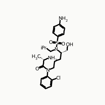 CC(C)CN([C@H](CO)CCCN(C(=O)[C@H](C)N)c1ccccc1Cl)S(=O)(=O)c1ccc(N)cc1